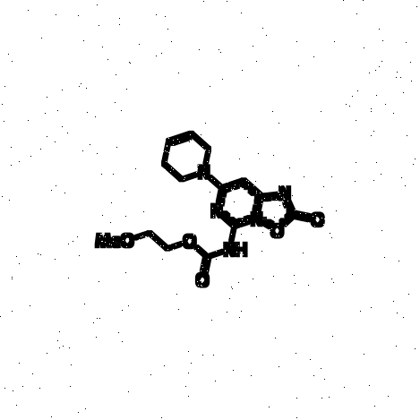 COCCOC(=O)Nc1nc(N2CC=CCC2)cc2nc(=O)on12